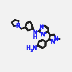 Cn1cc(-c2ccnc(Nc3cccc(CN4CCCC4)c3)n2)c(-c2ccc(N)cc2)n1